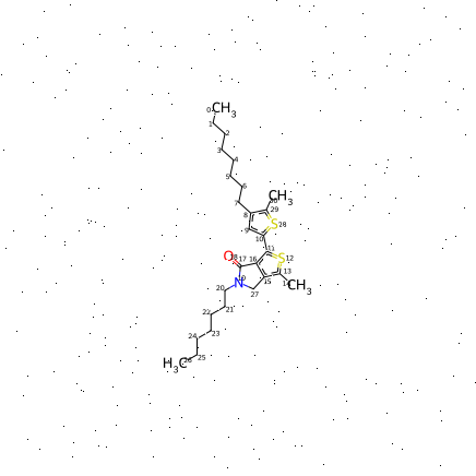 CCCCCCCCc1cc(-c2sc(C)c3c2C(=O)N(CCCCCCC)C3)sc1C